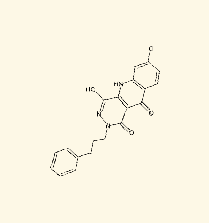 O=c1c2ccc(Cl)cc2[nH]c2c(O)nn(CCCc3ccccc3)c(=O)c12